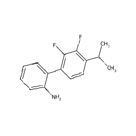 C[C](C)c1ccc(-c2ccccc2N)c(F)c1F